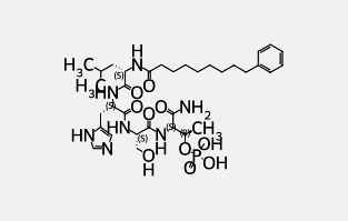 CC(C)C[C@H](NC(=O)CCCCCCCCc1ccccc1)C(=O)N[C@@H](Cc1cnc[nH]1)C(=O)N[C@@H](CO)C(=O)N[C@H](C(N)=O)[C@@H](C)OP(=O)(O)O